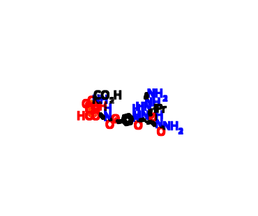 CC(C)[C@@H](NN/C=C\N)C(=O)N[C@H](CCCNC(N)=O)C(=O)Nc1ccc(COC(=O)NCCOP(=O)(O)OP(=O)(O)ONC(=O)O)cc1